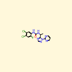 CC(NC(=O)Nc1cc(Cl)c(Cl)cc1F)c1ncnn1-c1ncccn1